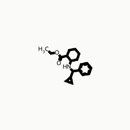 CCOC(=O)C1CCCCC1NC(c1ccccc1)C1CC1